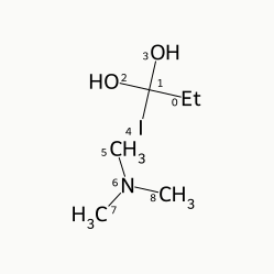 CCC(O)(O)I.CN(C)C